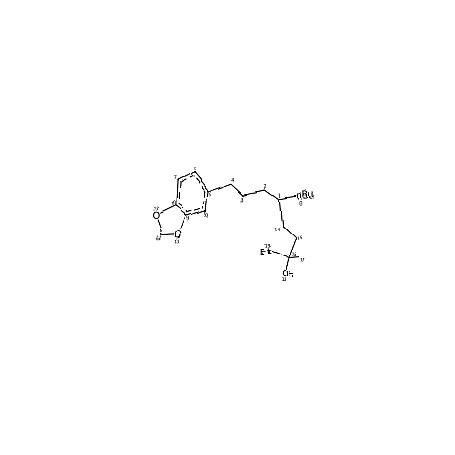 CCCCC(CCCc1ccc2c(c1)OCO2)CCC(C)(O)CC